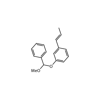 CC=Cc1cccc(OC(OC)c2ccccc2)c1